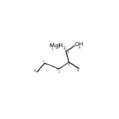 CCCC(C)CO.[MgH2]